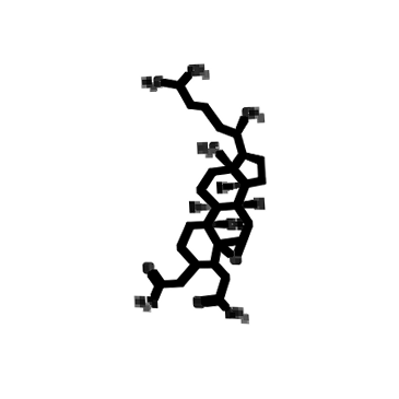 CC(C)CCC[C@@H](C)[C@H]1CC[C@H]2[C@@H]3CC4OC45C(CC(N)=O)C(CC(N)=O)CC[C@]5(C)[C@H]3CC[C@]12C